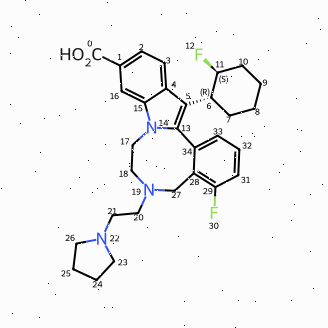 O=C(O)c1ccc2c([C@H]3CCCC[C@@H]3F)c3n(c2c1)CCN(CCN1CCCC1)Cc1c(F)cccc1-3